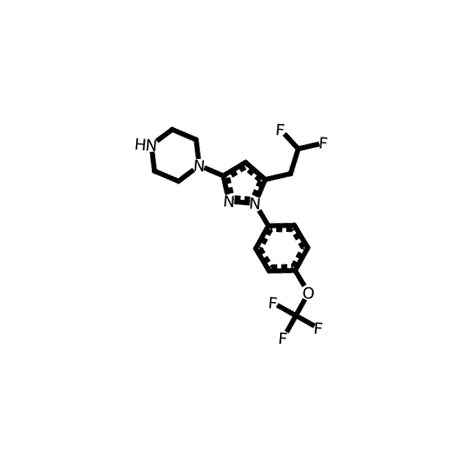 FC(F)Cc1cc(N2CCNCC2)nn1-c1ccc(OC(F)(F)F)cc1